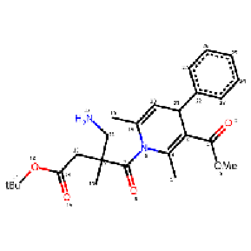 COC(=O)C1=C(C)N(C(=O)C(C)(CN)CC(=O)OC(C)(C)C)C(C)=CC1c1ccccc1